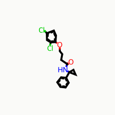 O=C(CCCOc1ccc(Cl)cc1Cl)NC1(c2ccccc2)CC1